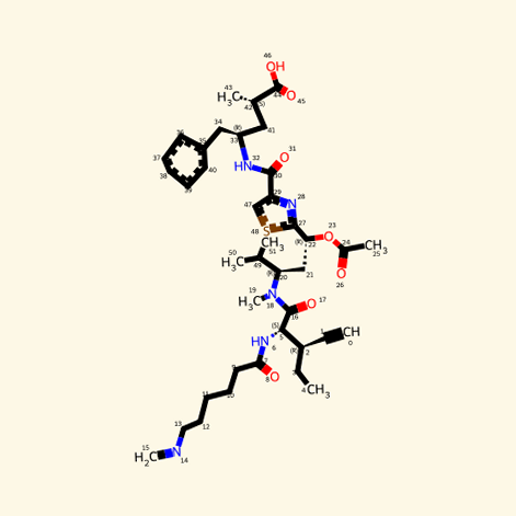 C#C[C@@H](CC)[C@H](NC(=O)CCCCCN=C)C(=O)N(C)[C@H](C[C@@H](OC(C)=O)c1nc(C(=O)N[C@@H](Cc2ccccc2)C[C@H](C)C(=O)O)cs1)C(C)C